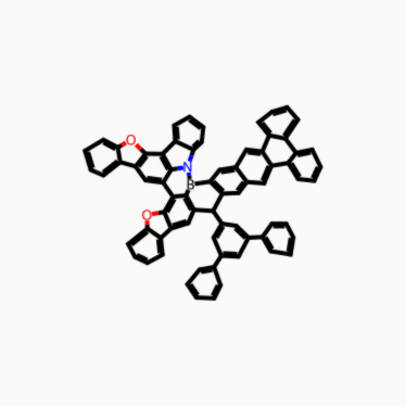 c1ccc(-c2cc(-c3ccccc3)cc(C3c4cc5cc6c7ccccc7c7ccccc7c6cc5cc4B4c5c3cc3c(oc6ccccc63)c5-c3cc5c6ccccc6oc5c5c6ccccc6n4c35)c2)cc1